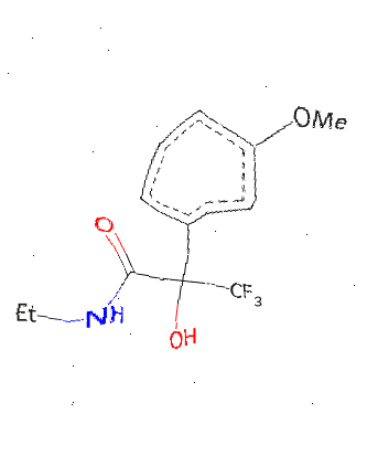 CCNC(=O)C(O)(c1cccc(OC)c1)C(F)(F)F